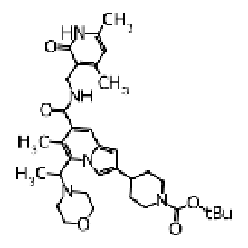 Cc1cc(C)c(CNC(=O)c2cc3cc(C4CCN(C(=O)OC(C)(C)C)CC4)cn3c(C(C)N3CCOCC3)c2C)c(=O)[nH]1